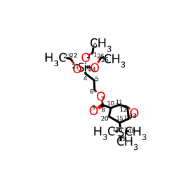 CCO[Si](CCCOC(=O)C1CC2OC2C([Si](C)(C)C)C1)(OCC)OCC